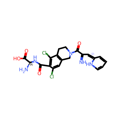 N=C(/C=C1/C=CC=CN1)C(=O)N1CCc2c(cc(Cl)c(C(=O)N[C@@H](N)C(=O)O)c2Cl)C1